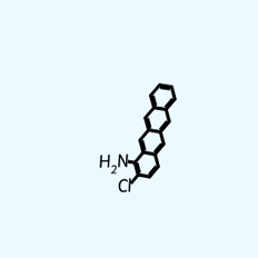 Nc1c(Cl)ccc2cc3cc4ccccc4cc3cc12